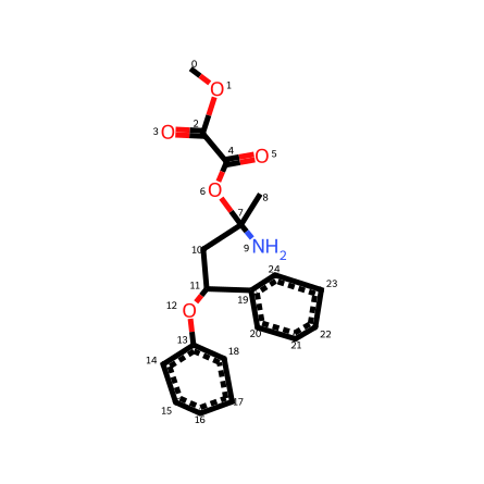 COC(=O)C(=O)OC(C)(N)CC(Oc1ccccc1)c1ccccc1